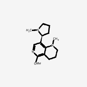 COc1ncc([C@@H]2CCCN2C)c2c1CCCN2C